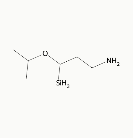 CC(C)OC([SiH3])CCN